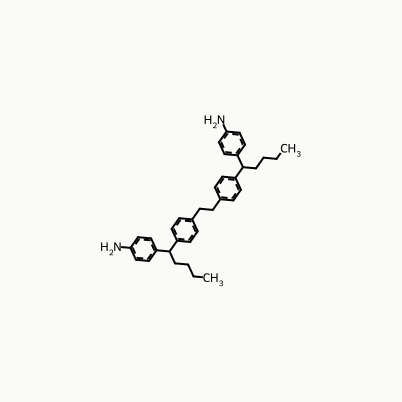 CCCCC(c1ccc(N)cc1)c1ccc(CCc2ccc(C(CCCC)c3ccc(N)cc3)cc2)cc1